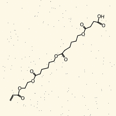 C=CC(=O)OCCOC(=O)CCCCCOC(=O)CCCCCOC(=O)CCC(=O)O